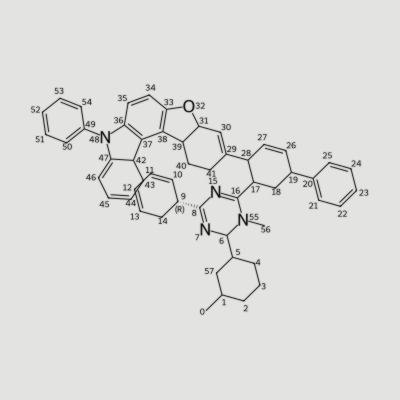 CC1CCCC(C2N=C([C@H]3C=CC=CC3)N=C(C3CC(c4ccccc4)C=CC3C3=CC4Oc5ccc6c(c5C4CC3)C3CC=CC=C3N6c3ccccc3)N2C)C1